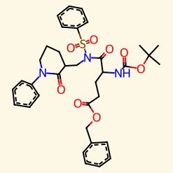 CC(C)(C)OC(=O)NC(CCC(=O)OCc1ccccc1)C(=O)N(CC1CCCN(c2ccccc2)C1=O)S(=O)(=O)c1ccccc1